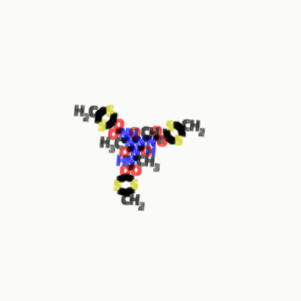 C=C1CSCC(OC(=O)NC(C)n2c(=O)n(C(C)NC(=O)OC3CSCC(=C)CSC3)c(=O)n(C(C)NC(=O)OC3CSCC(=C)CSC3)c2=O)CSC1